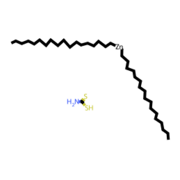 CCCCCCCCCCCCCCCCC[CH2][Zn][CH2]CCCCCCCCCCCCCCCCC.NC(=S)S